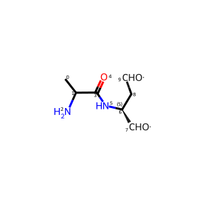 CC(N)C(=O)N[C@H]([C]=O)C[C]=O